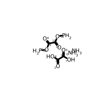 N.N.O=C(O)C(=O)O.O=C(OP)C(=O)OP